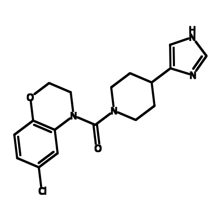 O=C(N1CCC(c2c[nH]cn2)CC1)N1CCOc2ccc(Cl)cc21